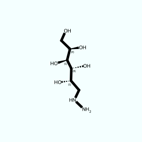 NNC[C@H](O)[C@@H](O)[C@@H](O)[C@H](O)CO